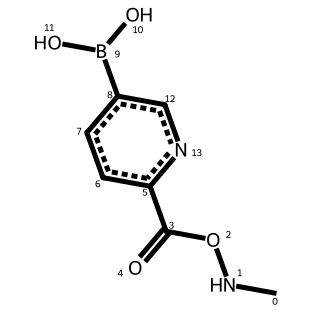 CNOC(=O)c1ccc(B(O)O)cn1